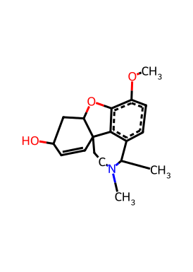 COc1ccc2c3c1OC1CC(O)C=CC31CCN(C)C2C